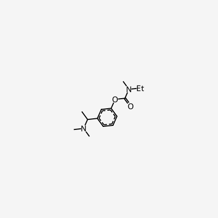 CCN(C)C(=O)Oc1cccc(C(C)N(C)C)c1